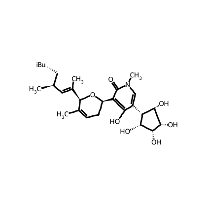 CC[C@@H](C)C[C@H](C)/C=C(\C)[C@H]1O[C@@H](c2c(O)c([C@@H]3[C@H](O)[C@H](O)[C@H](O)[C@@H]3O)cn(C)c2=O)CC=C1C